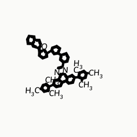 Cc1cc(C)c(-c2ccc3c4ccc(-c5c(C)cc(C)cc5C)cc4c4nc(-c5cccc(-c6cccc(-c7cccc8c7oc7cc9ccccc9cc78)c6)c5)cnc4c3c2)c(C)c1